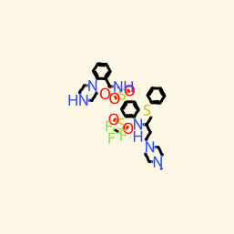 CN1CCN(CCC(CSc2ccccc2)Nc2ccc(S(=O)(=O)NC(=O)c3ccccc3N3CCNCC3)cc2S(=O)(=O)C(F)(F)F)CC1